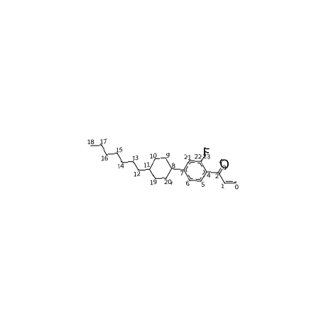 C=CC(=O)c1ccc(C2CCC(CCCCCCC)CC2)cc1F